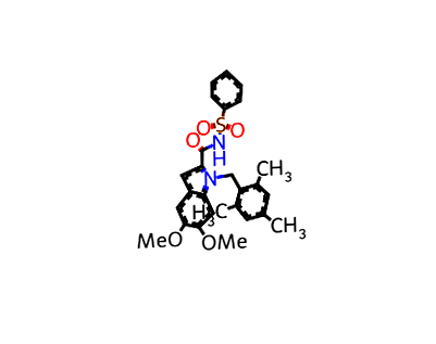 COc1cc2cc(C(=O)NS(=O)(=O)c3ccccc3)n(Cc3c(C)cc(C)cc3C)c2cc1OC